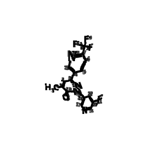 Cc1cc(-c2ccc(C(F)(F)F)nc2)nn(-c2cncc(F)c2)c1=O